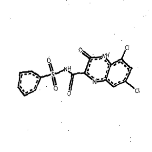 O=C(NS(=O)(=O)c1ccccc1)c1nc2cc(Cl)cc(Cl)c2[nH]c1=O